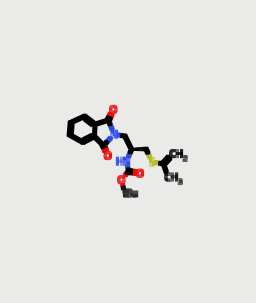 C=C(C)SC[C@H](CN1C(=O)c2ccccc2C1=O)NC(=O)OC(C)(C)C